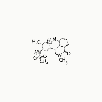 Cc1ccc(-c2cn(C)c(=O)c3cccc(N)c23)cc1NS(C)(=O)=O